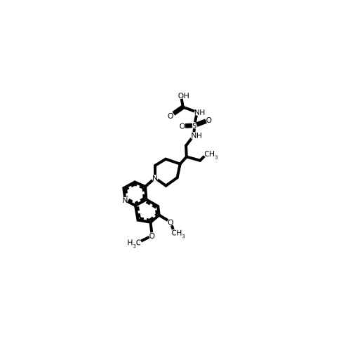 CCC(CNS(=O)(=O)NC(=O)O)C1CCN(c2ccnc3cc(OC)c(OC)cc23)CC1